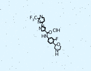 Cl.O=C(Nc1ccc(C2CNCCO2)c(F)c1)c1cnn(-c2ccnc(C(F)(F)F)n2)c1